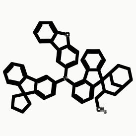 CCC1CC2CCCC(C2)C12c1ccccc1-c1c(N(c3ccc4c(c3)-c3ccccc3C43CCCC3)c3ccc4oc5ccccc5c4c3)cccc12